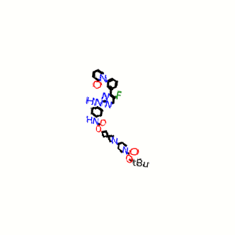 CC(C)(C)OC(=O)N1CCC(N2CC3(CC(OC(=O)N[C@H]4CC[C@H](Nc5ncc(F)c(-c6cccc(-n7ccccc7=O)c6)n5)CC4)C3)C2)CC1